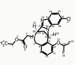 CCOC(=O)CN1Cc2cccc(OC(F)F)c2[C@H]2C[C@@H]1c1nc3ccc(Cl)cc3n12